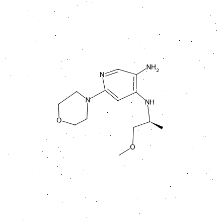 COC[C@H](C)Nc1cc(N2CCOCC2)ncc1N